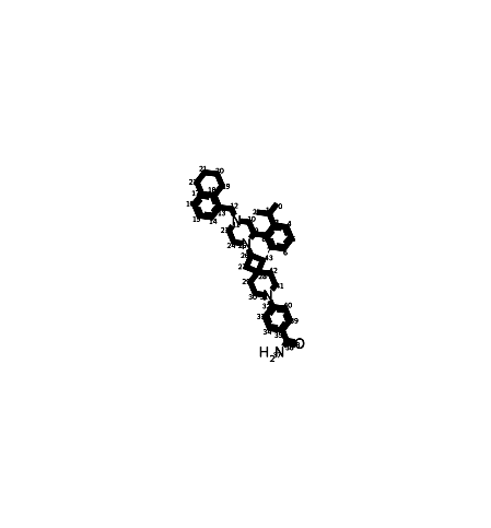 CC(C)c1ccccc1C1CN(Cc2cccc3c2CCCC3)CCN1C1CC2(CCN(c3ccc(C(N)=O)cc3)CC2)C1